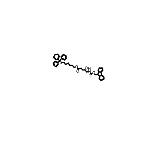 O=C(CCC(=O)OCCCCCCSC(C1=CCCC=C1)(c1ccccc1)c1ccccc1)CNC(=O)OCC1c2ccccc2-c2ccccc21